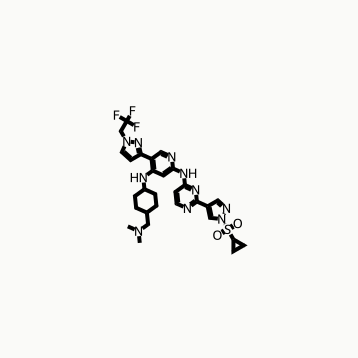 CN(C)CC1CCC(Nc2cc(Nc3ccnc(-c4cnn(S(=O)(=O)C5CC5)c4)n3)ncc2-c2ccn(CC(F)(F)F)n2)CC1